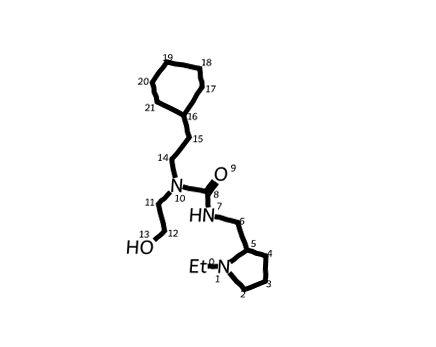 CCN1CCCC1CNC(=O)N(CCO)CCC1CCCCC1